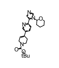 CC(C)(C)OC(=O)N1CC=C(c2ccc(-c3cncn3C3CCCCO3)nc2)CC1